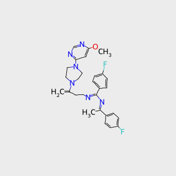 C=C(CCN=C(/N=C(\C)c1ccc(F)cc1)c1ccc(F)cc1)N1CCN(c2cc(OC)ncn2)CC1